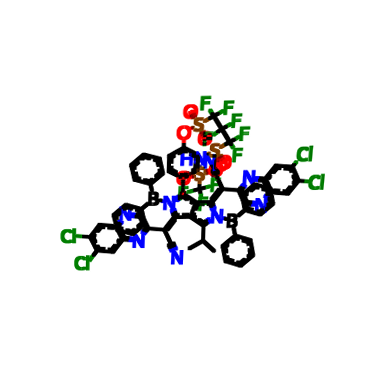 CC(C)c1c2/c(=C(\C#N)c3cnc4cc(Cl)c(Cl)cc4n3)n(B(c3ccccc3)c3ccccc3)c(-c3ccc(OS(=O)(=O)C(F)(F)C(F)(F)C(F)(F)S(=O)(=O)NS(=O)(=O)C(F)(F)F)cc3)c2/c(=C(\C#N)c2cnc3cc(Cl)c(Cl)cc3n2)n1B(c1ccccc1)c1ccccc1